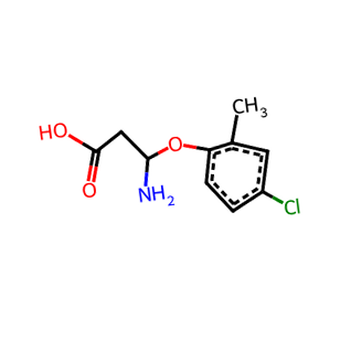 Cc1cc(Cl)ccc1OC(N)CC(=O)O